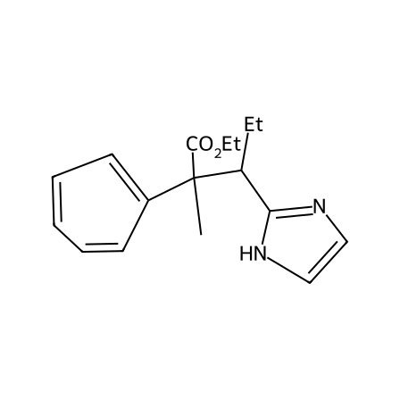 CCOC(=O)C(C)(c1ccccc1)C(CC)c1ncc[nH]1